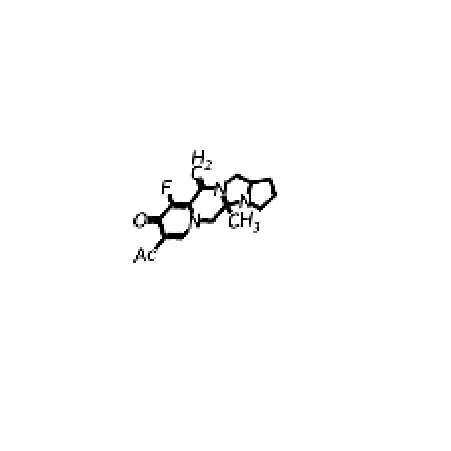 C=C1c2c(F)c(=O)c(C(C)=O)cn2CC2(C)N1CC1CCCN12